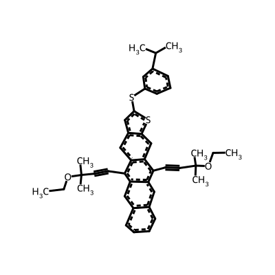 CCOC(C)(C)C#Cc1c2cc3ccccc3cc2c(C#CC(C)(C)OCC)c2cc3sc(Sc4cccc(C(C)C)c4)cc3cc12